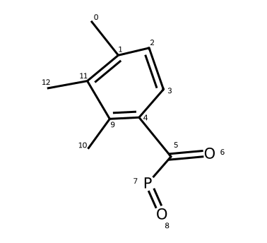 Cc1ccc(C(=O)P=O)c(C)c1C